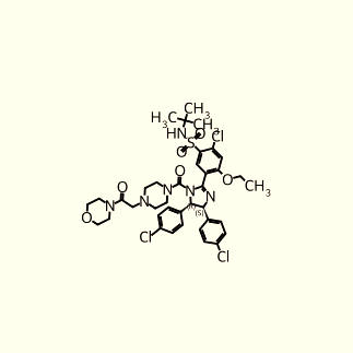 CCOc1cc(Cl)c(S(=O)(=O)NC(C)(C)C)cc1C1=N[C@@H](c2ccc(Cl)cc2)[C@@H](c2ccc(Cl)cc2)N1C(=O)N1CCN(CC(=O)N2CCOCC2)CC1